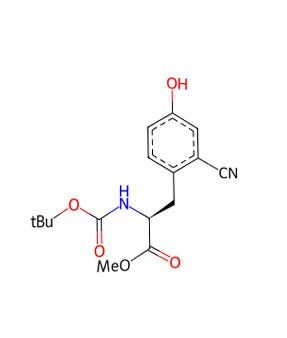 COC(=O)[C@H](Cc1ccc(O)cc1C#N)NC(=O)OC(C)(C)C